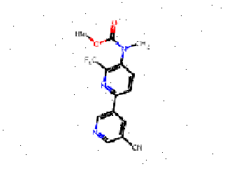 CN(C(=O)OC(C)(C)C)c1ccc(-c2cncc(C#N)c2)nc1C(F)(F)F